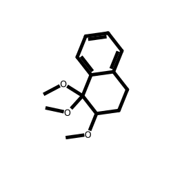 COC1CCc2ccccc2C1(OC)OC